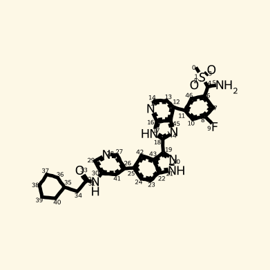 CS(=O)(=O)C(N)c1cc(F)cc(-c2ccnc3[nH]c(-c4n[nH]c5ccc(-c6cncc(NC(=O)CC7CCCCC7)c6)cc45)nc23)c1